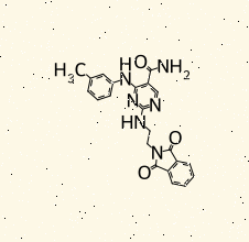 Cc1cccc(Nc2nc(NCCN3C(=O)c4ccccc4C3=O)ncc2C(N)=O)c1